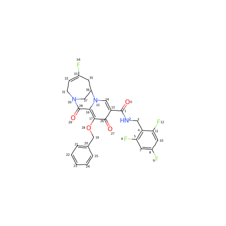 O=C(NCc1c(F)cc(F)cc1F)c1cn2c(c(OCc3ccccc3)c1=O)C(=O)N1CC=C(F)CC2C1